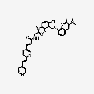 Cc1nc2c(OCc3c(Cl)ccc(N(C)C(=O)CNC(=O)C=Cc4ccc(C=Cc5ccncc5)nc4)c3Cl)cccc2cc1N(C)C